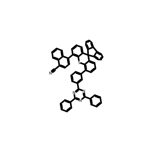 N#Cc1ccc(-c2cccc3c2Sc2c(-c4cccc(-c5nc(-c6ccccc6)nc(-c6ccccc6)n5)c4)cccc2C32c3ccccc3-c3ccccc32)c2ccccc12